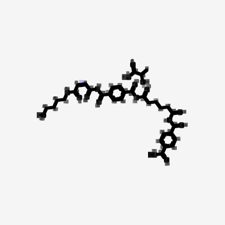 CC(O)C(=O)O.O=C(/C=C\C(=O)OC(=O)c1ccc(C(=O)OC(=O)CCCCC(=O)OC(=O)c2ccc(C(=O)O)cc2)cc1)OCCCCO